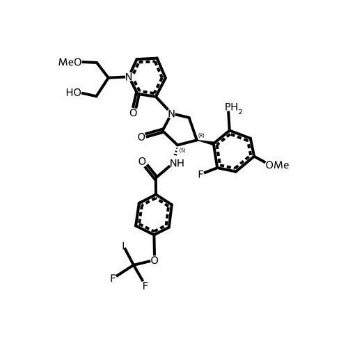 COCC(CO)n1cccc(N2C[C@@H](c3c(F)cc(OC)cc3P)[C@H](NC(=O)c3ccc(OC(F)(F)I)cc3)C2=O)c1=O